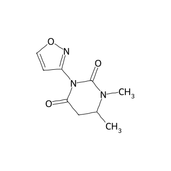 CC1CC(=O)N(c2ccon2)C(=O)N1C